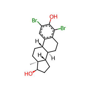 C[C@]12CC[C@@H]3c4cc(Br)c(O)c(Br)c4CC[C@H]3[C@@H]1CC[C@H]2O